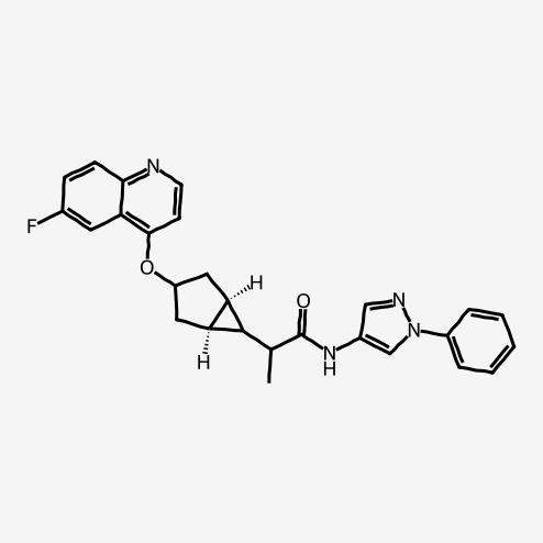 CC(C(=O)Nc1cnn(-c2ccccc2)c1)C1[C@H]2CC(Oc3ccnc4ccc(F)cc34)C[C@@H]12